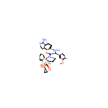 COc1cc(C(Nc2ccc3c(N)nccc3c2)C(=O)N2CC[C@H](C(=O)O)[C@@H]2c2ccccc2S(=O)(=O)C2CC2)ccc1F